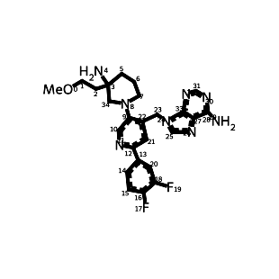 COCCC1(N)CCCN(c2cnc(-c3ccc(F)c(F)c3)cc2Cn2cnc3c(N)ncnc32)C1